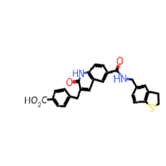 O=C(O)c1ccc(Cc2cc3cc(C(=O)NCc4ccc5c(c4)CCS5)ccc3[nH]c2=O)cc1